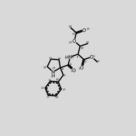 COC(=O)C(NC(=O)C1(Cc2ccccc2)CCCN1)C(C)OC(C)=O